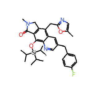 Cc1cnc(Cc2c3c(c(O[Si](C(C)C)(C(C)C)C(C)C)c4ncc(Cc5ccc(F)cc5)cc24)C(=O)N(C)C3)o1